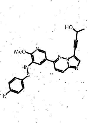 COc1ncc(-c2ccc3ncc(C#CC(C)O)n3n2)cc1NSc1ccc(F)cc1